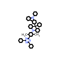 Cc1cc(N2c3ccccc3C(c3ccccc3)(c3ccc4c(c3)c3ccccc3n4-c3ccccc3)c3ccccc32)c(C)cc1-c1nc(-c2ccccc2)nc(-c2ccccc2)n1